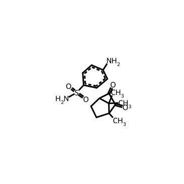 CC12CCC(C(=O)C1=O)C2(C)C.Nc1ccc(S(N)(=O)=O)cc1